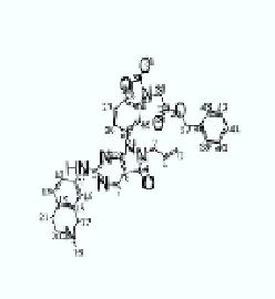 C=CCn1c(=O)c2cnc(Nc3ccc4c(c3)CN(C)CC4)nc2n1-c1ccc2oc(=O)n(CC(=O)OCc3ccccc3)c2c1